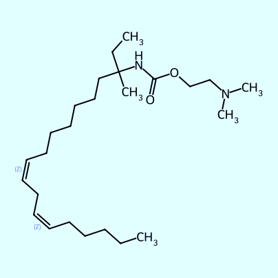 CCCCC/C=C\C/C=C\CCCCCCC(C)(CC)NC(=O)OCCN(C)C